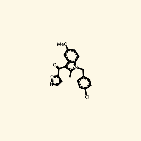 COc1ccc2c(c1)c(C(=O)c1ccno1)c(C)n2Cc1ccc(Cl)cc1